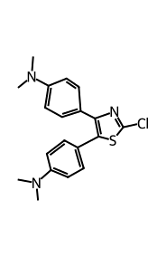 CN(C)c1ccc(-c2nc(Cl)sc2-c2ccc(N(C)C)cc2)cc1